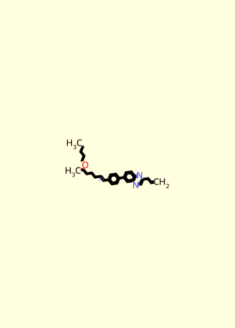 C=CCc1cnc2cc(-c3ccc(/C=C/CCCC(C)OCCCCC)cc3)ccc2n1